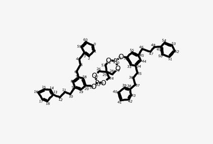 c1ccc(CCCc2cc(CCCc3ccccc3)cc(OP3OCC4(CO3)COP(Oc3cc(CCCc5ccccc5)cc(CCCc5ccccc5)c3)OC4)c2)cc1